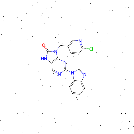 O=c1[nH]c2cnc(-n3cnc4ccccc43)nc2n1Cc1ccc(Cl)nc1